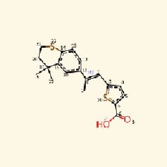 C/C(=C\c1ccc(C(=O)O)s1)c1ccc2c(c1)C(C)(C)CCS2